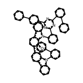 c1ccc(-c2ccc(-c3nc(-c4ccccc4-c4ccccc4)nc(-c4ccccc4-n4c5ccccc5c5ccc6c7ccc8c9ccccc9n(-c9ccccc9-c9ccccc9)c8c7oc6c54)n3)cc2)cc1